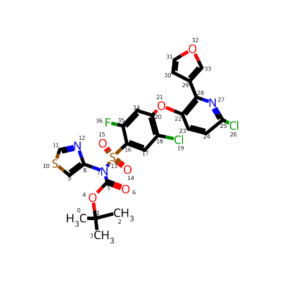 CC(C)(C)OC(=O)N(c1cscn1)S(=O)(=O)c1cc(Cl)c(Oc2ccc(Cl)nc2-c2ccoc2)cc1F